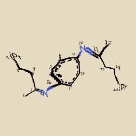 CC(CCC(C)C)=Nc1ccc(N=C(C)CCC(C)C)cc1